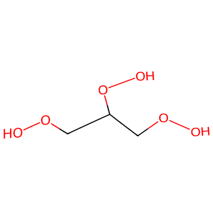 OOCC(COO)OO